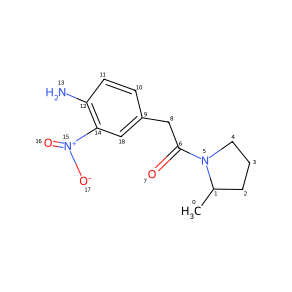 CC1CCCN1C(=O)Cc1ccc(N)c([N+](=O)[O-])c1